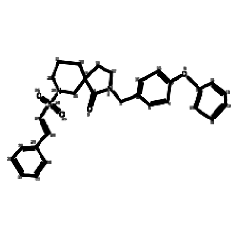 O=C1N(Cc2ccc(Oc3ccccc3)cc2)CCC12CCCN(S(=O)(=O)C=Cc1ccccc1)C2